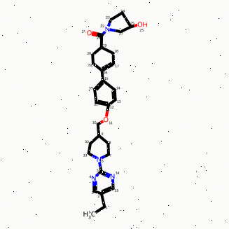 CCc1cnc(N2CCC(COc3ccc(C4=CCC(C(=O)N5CCC(O)C5)CC4)cc3)CC2)nc1